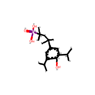 CC(C)c1cc(C(C)(C)CC(C)(C)P(=O)(O)O)cc(C(C)C)c1O